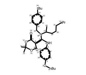 CCCCOc1ccc(NC(=C2C(=O)OC(C)(C)OC2=O)N(Cc2ccc(C(C)(C)C)cc2)C(C)CCCC(C)C)cc1